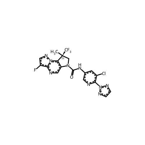 C[C@]1(C(F)(F)F)CN(C(=O)Nc2cnc(-n3nccn3)c(Cl)c2)c2cnc3c(F)cnn3c21